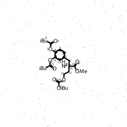 CCC(C)C(=O)Oc1ccc(C[C@](N)(CCOC(=O)OCC(C)C)C(=O)OC)cc1OC(=O)C(C)CC